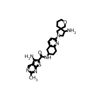 Cc1ncc2c(N)c(C(=O)NC3CCc4nc(N5CC(N)C6(CCCOC6)C5)ccc4C3)sc2n1